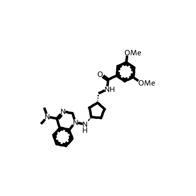 COc1cc(OC)cc(C(=O)NC[C@@H]2CC[C@H](NN3CN=C(N(C)C)c4ccccc43)C2)c1